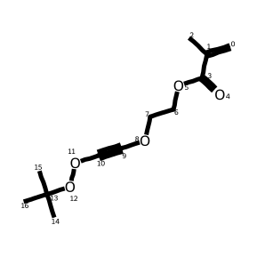 C=C(C)C(=O)OCCOC#COOC(C)(C)C